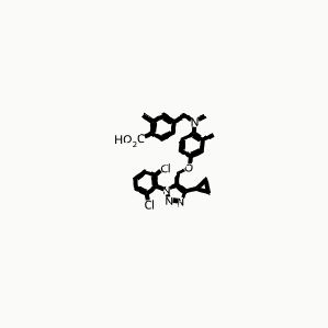 Cc1cc(CN(C)c2ccc(OCc3c(C4CC4)nnn3-c3c(Cl)cccc3Cl)cc2C)ccc1C(=O)O